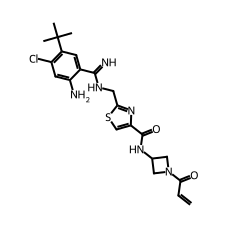 C=CC(=O)N1CC(NC(=O)c2csc(CNC(=N)c3cc(C(C)(C)C)c(Cl)cc3N)n2)C1